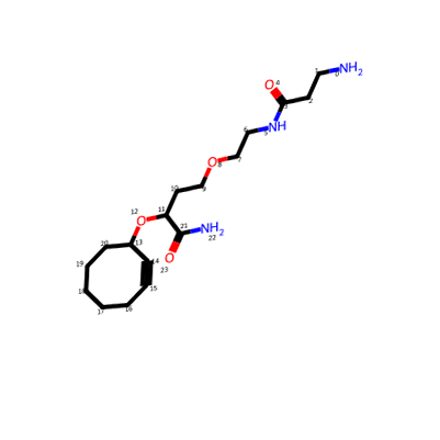 NCCC(=O)NCCOCCC(OC1C#CCCCCC1)C(N)=O